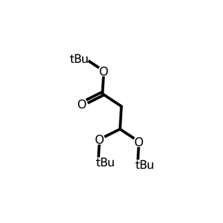 CC(C)(C)OC(=O)CC(OC(C)(C)C)OC(C)(C)C